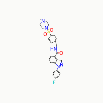 CN1CCN(S(=O)(=O)c2ccc(CNC(=O)c3cccc4c3cnn4-c3ccc(F)cc3)cc2)CC1